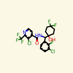 O=C(NC(c1cccc(Cl)c1F)C1(O)CCC(F)(F)CC1)c1ccnc(C(F)(F)F)c1Cl